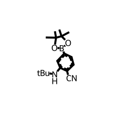 CC(C)(C)Nc1cc(B2OC(C)(C)C(C)(C)O2)ccc1C#N